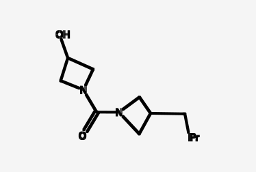 CC(C)CC1CN(C(=O)N2CC(O)C2)C1